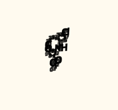 CC(C)(C)OC(=O)c1ccc2c(c1)NCc1ccc(Cl)cc1CCCCO2